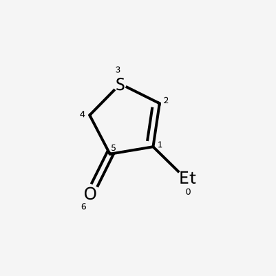 CCC1=CSCC1=O